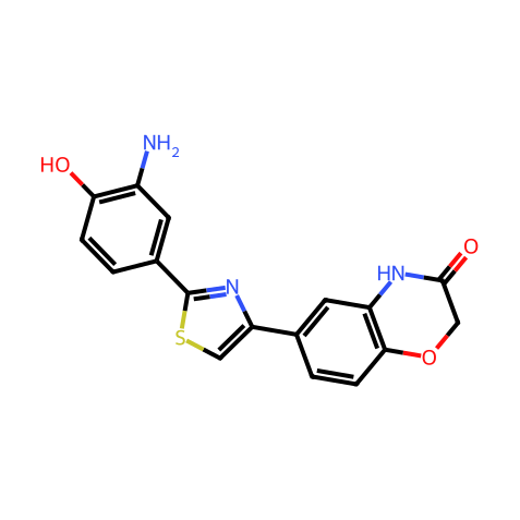 Nc1cc(-c2nc(-c3ccc4c(c3)NC(=O)CO4)cs2)ccc1O